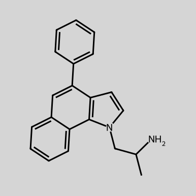 CC(N)Cn1ccc2c(-c3ccccc3)cc3ccccc3c21